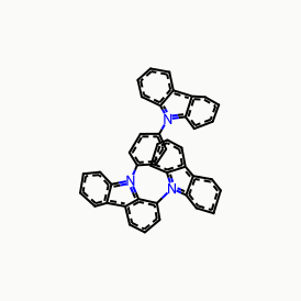 c1ccc2c(c1)c1ccccc1n2-c1ccc(-n2c3ccccc3c3cccc(-n4c5ccccc5c5ccccc54)c32)cc1